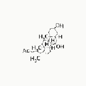 CC(=O)CC[C@@H](C)[C@H]1CC[C@H]2[C@@H]3[C@@H](O)C[C@@H]4C[C@H](O)CC[C@]4(C)[C@H]3CC[C@]12C